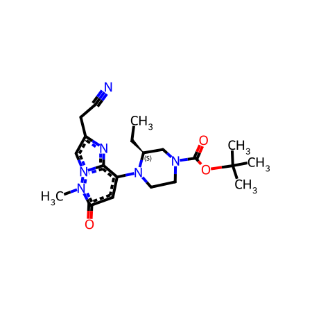 CC[C@H]1CN(C(=O)OC(C)(C)C)CCN1c1cc(=O)n(C)n2cc(CC#N)nc12